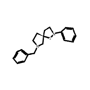 c1ccc(CN2CC[C@]3(CCN(c4ccccc4)S3)C2)cc1